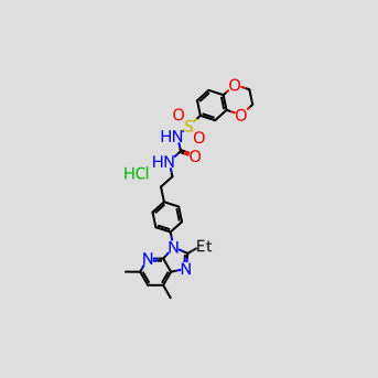 CCc1nc2c(C)cc(C)nc2n1-c1ccc(CCNC(=O)NS(=O)(=O)c2ccc3c(c2)OCCO3)cc1.Cl